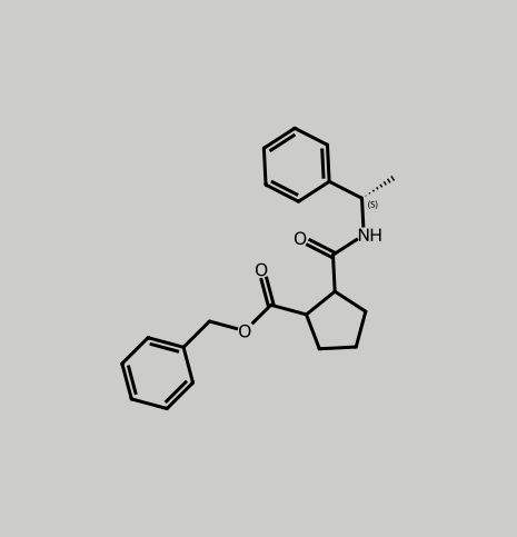 C[C@H](NC(=O)C1CCCC1C(=O)OCc1ccccc1)c1ccccc1